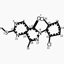 CSc1ncc2c(=O)n(-c3c(Cl)cccc3Cl)nc(C)c2n1